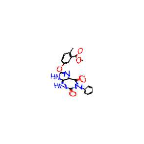 COC(=O)c1cc(OC2=NC3C(=O)N(c4ccccc4)C(=O)NC3N2)ccc1C